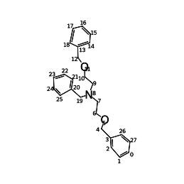 c1ccc(COCCN(CCOCc2ccccc2)Cc2ccccc2)cc1